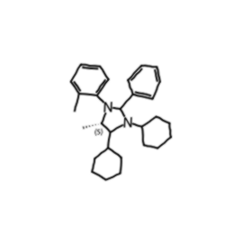 Cc1ccccc1N1C(c2ccccc2)N(C2CCCCC2)C(C2CCCCC2)[C@@H]1C